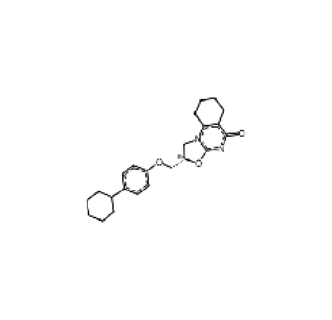 O=c1nc2n(c3c1CCCC3)C[C@@H](COc1ccc(C3CCCCC3)cc1)O2